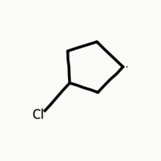 ClC1C[CH]CC1